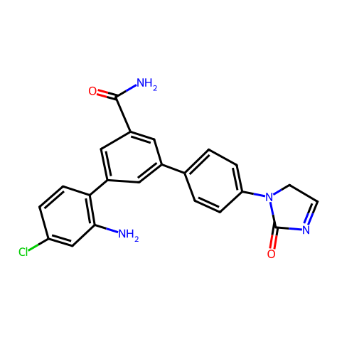 NC(=O)c1cc(-c2ccc(N3CC=NC3=O)cc2)cc(-c2ccc(Cl)cc2N)c1